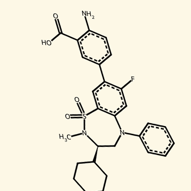 CN1[C@H](C2CCCCC2)CN(c2ccccc2)c2cc(F)c(-c3ccc(N)c(C(=O)O)c3)cc2S1(=O)=O